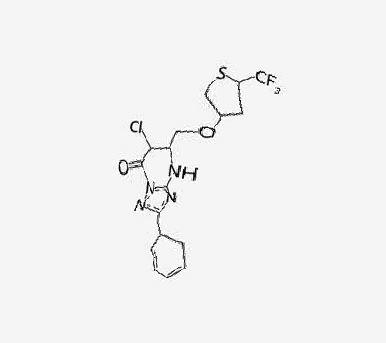 O=C1C(Cl)C(COC2CSC(C(F)(F)F)C2)Nc2nc(C3C=CC=CC3)nn21